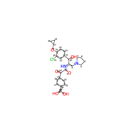 O=C(N[C@H](CN1CCCC1)[C@H](O)c1ccc(OC2CC2)c(Cl)c1)C(=O)c1ccc(B(O)O)cc1